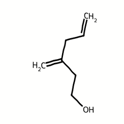 C=CCC(=C)CCO